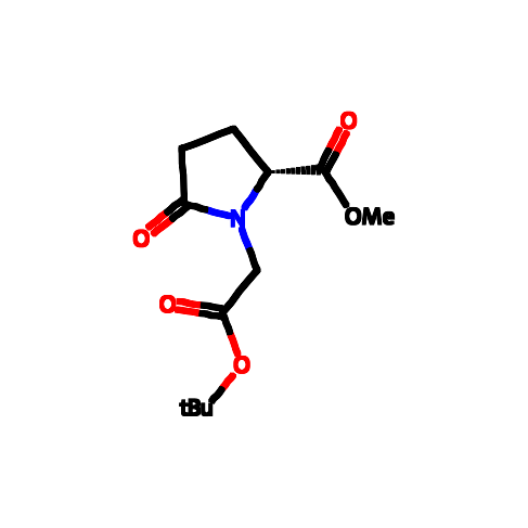 COC(=O)[C@H]1CCC(=O)N1CC(=O)OC(C)(C)C